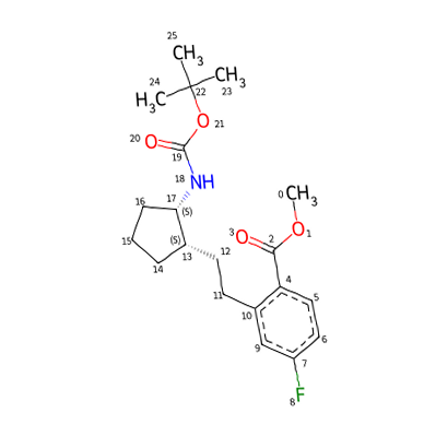 COC(=O)c1ccc(F)cc1CC[C@@H]1CCC[C@@H]1NC(=O)OC(C)(C)C